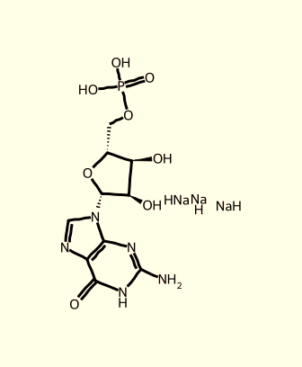 Nc1nc2c(ncn2[C@@H]2O[C@H](COP(=O)(O)O)[C@@H](O)[C@H]2O)c(=O)[nH]1.[NaH].[NaH].[NaH]